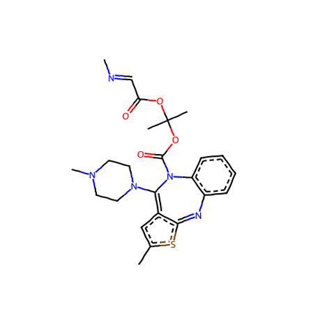 CN=CC(=O)OC(C)(C)OC(=O)N1C(N2CCN(C)CC2)=c2cc(C)sc2=Nc2ccccc21